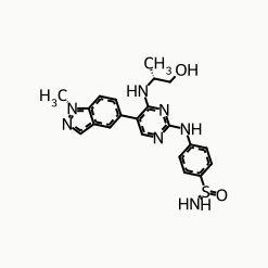 C[C@H](CO)Nc1nc(Nc2ccc([SH](=N)=O)cc2)ncc1-c1ccc2c(cnn2C)c1